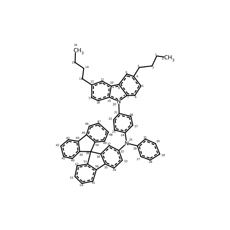 CCCCc1ccc2c(c1)c1cc(CCCC)ccc1n2-c1ccc(N(c2ccccc2)c2ccc3c(c2)C2(c4ccccc4-c4ccccc42)c2ccccc2-3)cc1